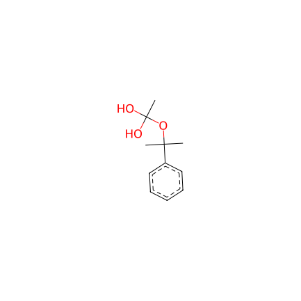 CC(O)(O)OC(C)(C)c1ccccc1